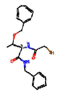 CC(OCc1ccccc1)[C@H](NC(=O)CS)C(=O)NCc1ccccc1